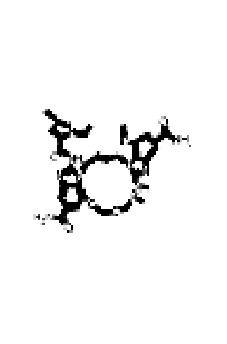 CCn1nc(C)cc1C(=O)Nc1nc2cc(C(N)=O)cc3c2n1C/C=C/Cn1c(nc2cc(C(N)=O)cc(OC)c21)N(C)N(C)CCCO3